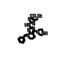 CCOC(=O)c1sc(Nc2nc(N3CCNCC3)c3c(n2)N(Cc2ccccc2)CCC3)nc1C